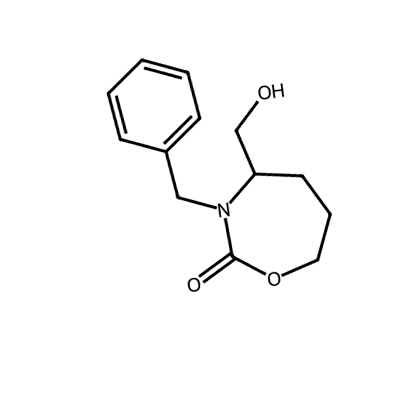 O=C1OCCCC(CO)N1Cc1ccccc1